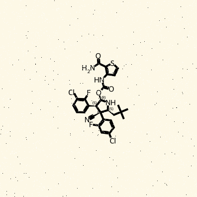 CC(C)(C)C[C@@H]1N[C@H](OC(=O)Nc2ccsc2C(N)=O)[C@H](c2cccc(Cl)c2F)[C@@]1(C#N)c1ccc(Cl)cc1F